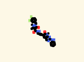 Cc1c(C(=O)NCC#Cc2cc3cnc(Nc4ccccc4)nc3n(C)c2=O)c(=O)n(Cc2ccc(F)c(F)c2)n1C